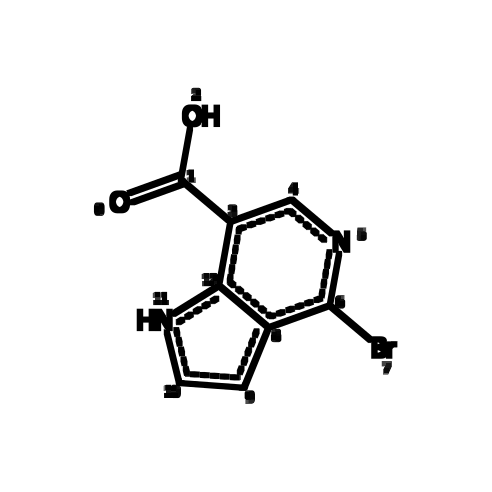 O=C(O)c1cnc(Br)c2cc[nH]c12